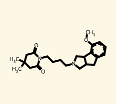 COc1cccc2c1C1CN(CCCCN3C(=O)CC(C)(C)CC3=O)CC1C2